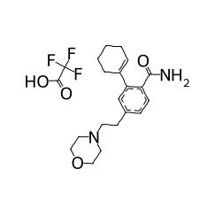 NC(=O)c1ccc(CCN2CCOCC2)cc1C1=CCCCC1.O=C(O)C(F)(F)F